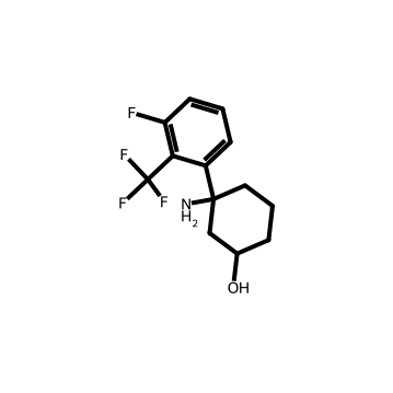 NC1(c2cccc(F)c2C(F)(F)F)CCCC(O)C1